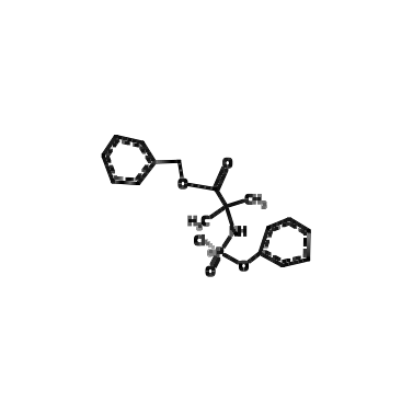 CC(C)(N[P@@](=O)(Cl)Oc1ccccc1)C(=O)OCc1ccccc1